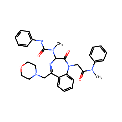 CN(C(=O)CN1C(=O)C(N(C)C(=O)Nc2ccccc2)N=C(CN2CCOCC2)c2ccccc21)c1ccccc1